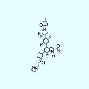 CN(C)C(=O)c1cc2c(-c3cc(F)c(C4CCN(C(=O)OC(C)(C)C)CC4(F)F)cc3F)cc(C3=CCCN(C(=O)CCn4cccn4)C3)c(F)c2[nH]1